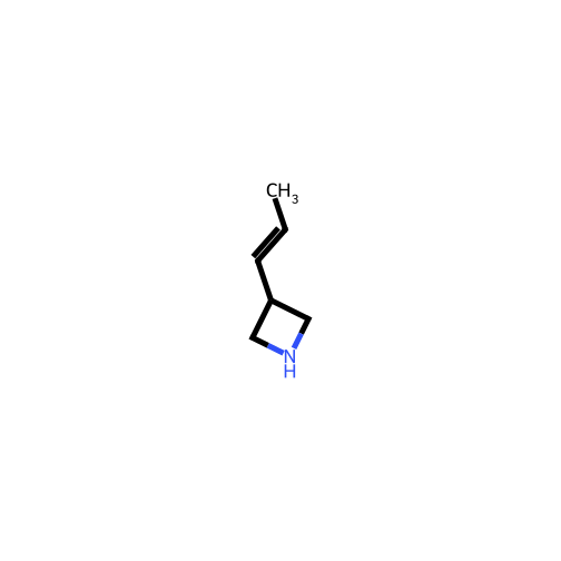 CC=CC1CNC1